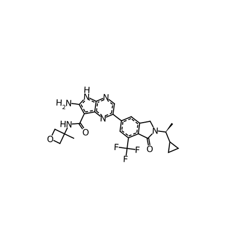 C[C@@H](C1CC1)N1Cc2cc(-c3cnc4[nH]c(N)c(C(=O)NC5(C)COC5)c4n3)cc(C(F)(F)F)c2C1=O